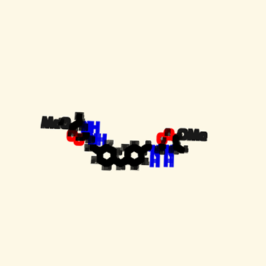 COC(=O)C(C)NC(=O)NCC1CCC(CC2CCC(CNC(=O)NC(C)C(=O)OC)CC2)CC1